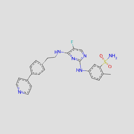 Cc1ccc(Nc2ncc(F)c(NCCc3ccc(-c4ccncc4)cc3)n2)cc1S(N)(=O)=O